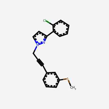 CSc1cccc(C#CCn2ccc(-c3ccccc3Cl)n2)c1